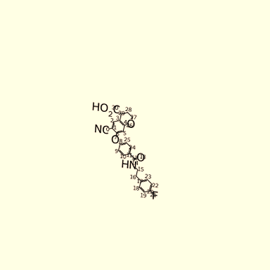 N#Cc1cc2c(cc1Oc1ccc(C(=O)NCCc3ccc(F)cc3)cc1)OCCC2C(=O)O